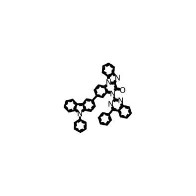 O=c1c2nc3ccccc3n2c2ccc(-c3ccc4c(c3)c3ccccc3n4-c3ccccc3)cc2n1-c1nc(-c2ccccc2)c2ccccc2n1